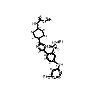 CCNS(=O)(=O)c1cc(Nc2cc(CC)cnn2)ccc1-c1cnc(C2CCC(NC(=O)OC(C)C)CC2)s1